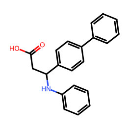 O=C(O)CC(Nc1ccccc1)c1ccc(-c2ccccc2)cc1